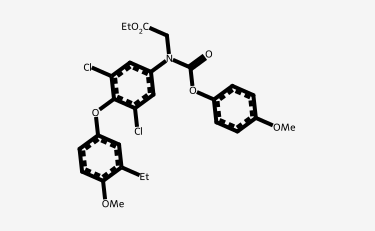 CCOC(=O)CN(C(=O)Oc1ccc(OC)cc1)c1cc(Cl)c(Oc2ccc(OC)c(CC)c2)c(Cl)c1